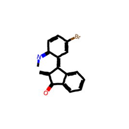 C=C1C(=O)c2ccccc2/C1=C1\C=C(Br)C=C\C1=N\C